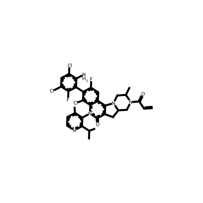 C=CC(=O)N1CC2Cc3c(c4cc(F)c(-c5c(N)c(Cl)cc(Cl)c5F)c(Cl)c4n(-c4c(C)ccnc4C(C)C)c3=O)N2CC1C